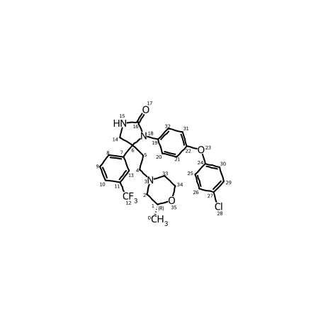 C[C@@H]1CN(CCC2(c3cccc(C(F)(F)F)c3)CNC(=O)N2c2ccc(Oc3ccc(Cl)cc3)cc2)CCO1